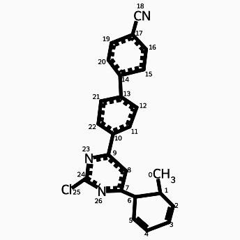 CC1C=CC=CC1c1cc(-c2ccc(-c3ccc(C#N)cc3)cc2)nc(Cl)n1